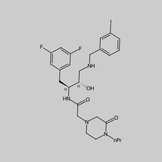 CCCN1CCN(CC(=O)N[C@@H](Cc2cc(F)cc(F)c2)[C@@H](O)CNCc2cccc(I)c2)CC1=O